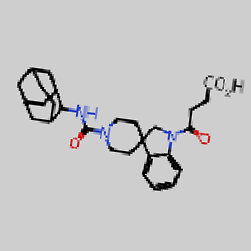 O=C(O)CCC(=O)N1CC2(CCN(C(=O)NC3C4CC5CC(C4)CC3C5)CC2)c2ccccc21